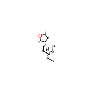 C1CCOC1.CC[SiH](CC)CC